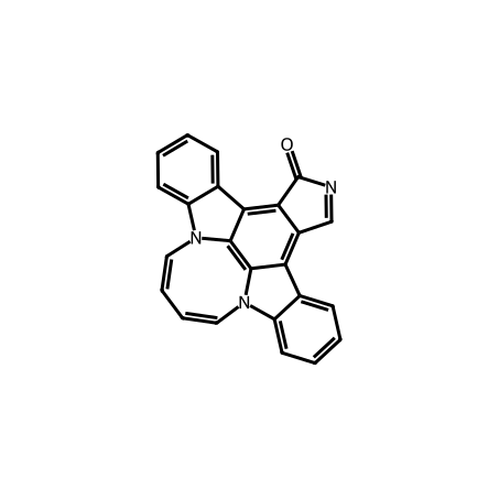 O=c1ncc2c1c1c3ccccc3n3ccccn4c5ccccc5c2c4c13